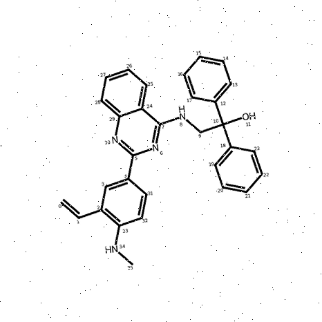 C=Cc1cc(-c2nc(NCC(O)(c3ccccc3)c3ccccc3)c3ccccc3n2)ccc1NC